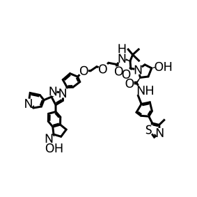 Cc1ncsc1-c1ccc(CNC(=O)[C@@H]2C[C@@H](O)CN2C(=O)[C@@H](NC(=O)COCCOc2ccc(-n3cc(-c4ccc5c(c4)CC/C5=N\O)c(-c4ccncc4)n3)cc2)C(C)(C)C)cc1